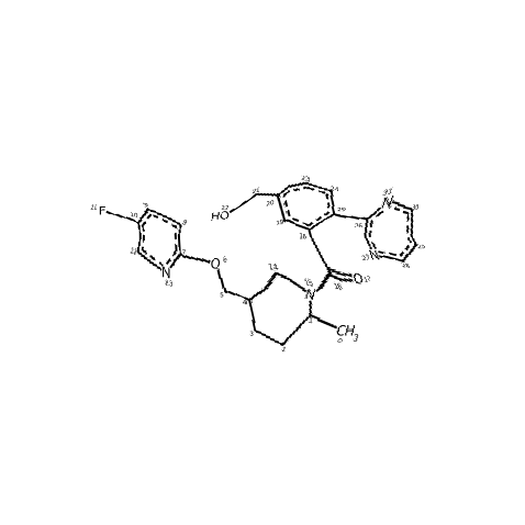 CC1CCC(COc2ccc(F)cn2)CN1C(=O)c1cc(CO)ccc1-c1ncccn1